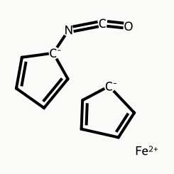 O=C=N[c-]1cccc1.[Fe+2].c1cc[cH-]c1